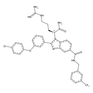 N=C(N)NCCC[C@@H](C(N)=O)n1c(-c2cccc(Oc3ccc(Cl)cc3)c2)nc2cc(C(=O)NCc3cccc(C(F)(F)F)c3)ccc21